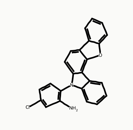 Nc1cc(Cl)ccc1-n1c2ccccc2c2c3oc4ccccc4c3ccc21